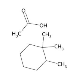 CC(=O)O.CC1CCCCC1(C)C